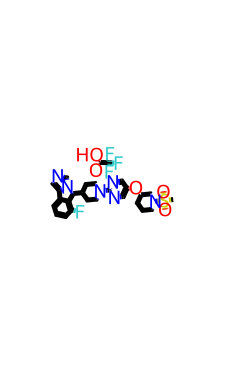 CS(=O)(=O)N1CCCC(Oc2cnc(N3CCC(C4c5c(F)cccc5-c5cncn54)CC3)nc2)C1.O=C(O)C(F)(F)F